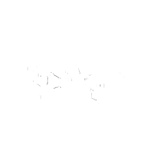 CCCCC[C@@H](CN(O)C=O)C(=O)NNc1ncc2c(Cl)nn(C)c2n1